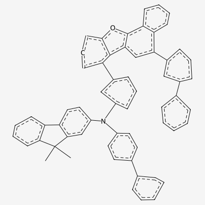 CC1(C)c2ccccc2-c2ccc(N(c3ccc(-c4ccccc4)cc3)c3cccc(-c4cccc5oc6c7ccccc7c(-c7cccc(-c8ccccc8)c7)cc6c45)c3)cc21